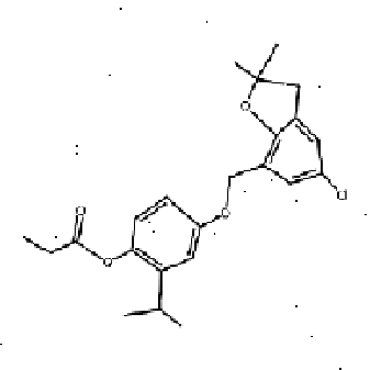 CCC(=O)Oc1ccc(OCc2cc(Cl)cc3c2OC(C)(C)C3)cc1C(C)C